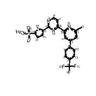 Cc1cc(-c2ccc(C(F)(F)F)cc2)cc(-c2ccnc(-c3ccc(S(=O)(=O)O)s3)n2)n1